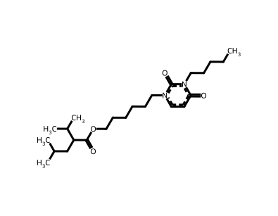 CCCCCn1c(=O)ccn(CCCCCCOC(=O)C(CC(C)C)C(C)C)c1=O